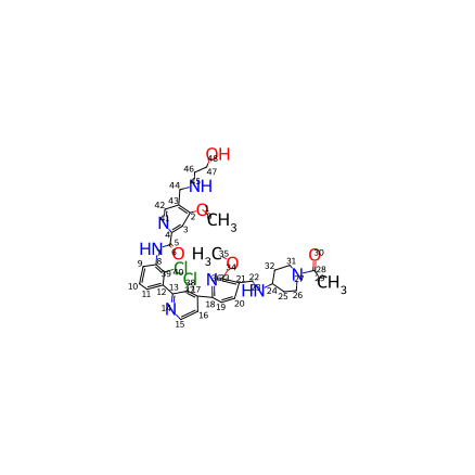 COc1cc(C(=O)Nc2cccc(-c3nccc(-c4ccc(CNC5CCN(C(C)=O)CC5)c(OC)n4)c3Cl)c2Cl)ncc1CNCCO